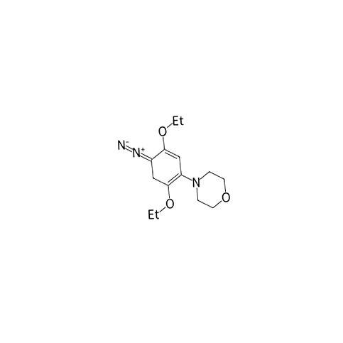 CCOC1=CC(N2CCOCC2)=C(OCC)CC1=[N+]=[N-]